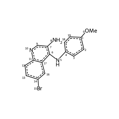 COc1ccc(Nc2c(N)cnc3ccc(Br)cc23)cc1